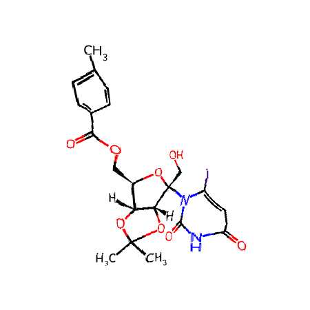 Cc1ccc(C(=O)OC[C@H]2O[C@](CO)(n3c(I)cc(=O)[nH]c3=O)[C@@H]3OC(C)(C)O[C@@H]32)cc1